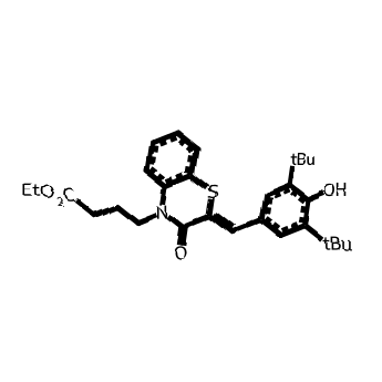 CCOC(=O)CCCN1C(=O)/C(=C/c2cc(C(C)(C)C)c(O)c(C(C)(C)C)c2)Sc2ccccc21